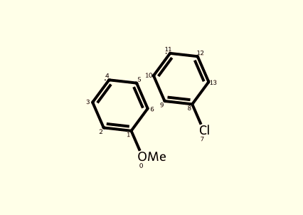 COc1cc[c]cc1.Clc1cc[c]cc1